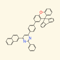 c1ccc(-c2nc(-c3ccc(-c4ccc5c(c4)C4(c6ccccc6O5)c5ccccc5-c5ccccc54)cc3)cc(-c3ccc4ccccc4c3)n2)cc1